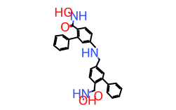 O=C(NO)c1ccc(CNCc2ccc(C(=O)NO)c(-c3ccccc3)c2)cc1-c1ccccc1